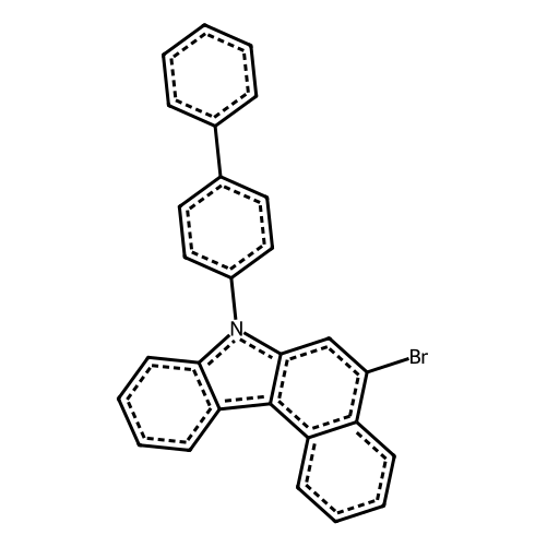 Brc1cc2c(c3ccccc13)c1ccccc1n2-c1ccc(-c2ccccc2)cc1